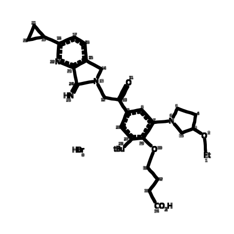 Br.CCOC1CCN(c2cc(C(=O)CN3Cc4ccc(C5CC5)nc4C3=N)cc(C(C)(C)C)c2OCCCC(=O)O)C1